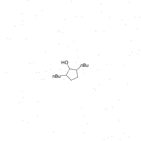 CCCCC1CCC(CCCC)C1O